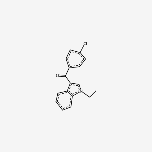 CCn1cc(C(=O)c2ccc(Cl)cc2)c2ccccc21